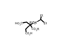 CCOC(=O)C(CC)CC.O=C(O)CC(O)(CC(=O)O)C(=O)O